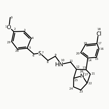 COc1ccc(CSCCNCC2C(c3ccc(Cl)cc3)CC3CCC2N3C)cc1